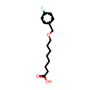 O=C(O)CCCCCCCOCc1ccc(F)cc1